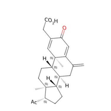 C=C1C[C@H]2[C@@H]3CC[C@H](C(C)=O)[C@@]3(C)CC[C@@H]2[C@@]2(C)C=C(CC(=O)O)C(=O)C=C12